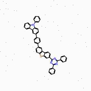 c1ccc(-c2nc(-c3ccccc3)nc(-c3ccc4c(c3)sc3ccc(-c5ccc(-c6ccc7c(c6)c6ccccc6n7-c6ccccc6)cc5)cc34)n2)cc1